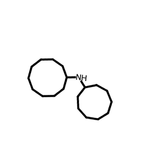 C1CCCCC(NC2CCCCCCCC2)CCCC1